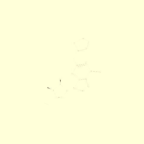 Nc1nc(OC2CCCC2)nc2c1ncn2[C@@H]1O[C@H](CO)[C@@H](O)[C@H]1Cl